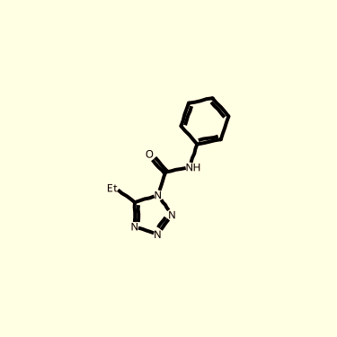 [CH2]Cc1nnnn1C(=O)Nc1ccccc1